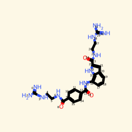 N=C(N)NCCNC(=O)c1ccc(C(=O)Nc2cccc3cc(C(=O)NCCNC(=N)N)[nH]c23)cc1